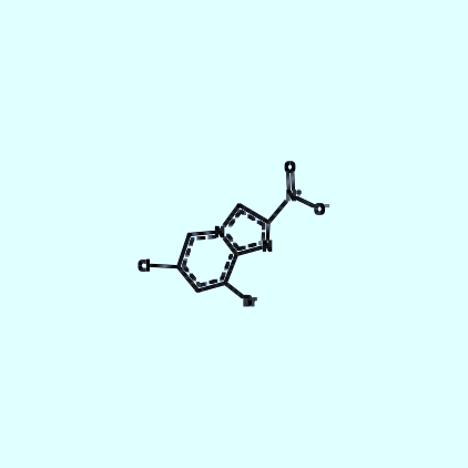 O=[N+]([O-])c1cn2cc(Cl)cc(Br)c2n1